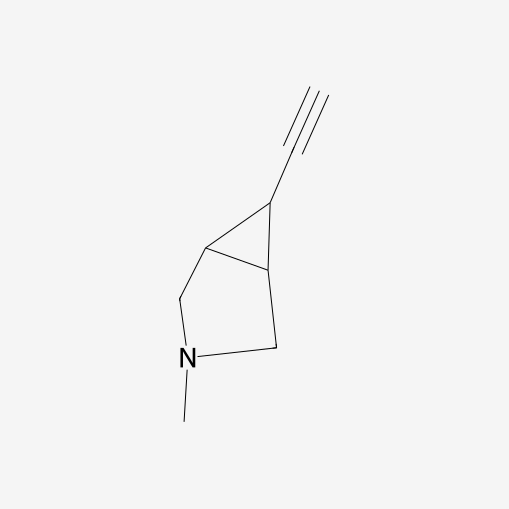 C#CC1C2CN(C)CC12